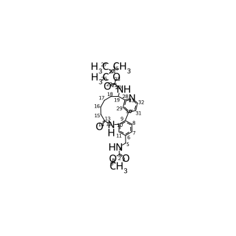 COC(=O)NCc1ccc2c(c1)NC(=O)CCCCC(NC(=O)OC(C)(C)C)c1cc-2ccn1